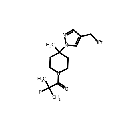 CC(C)Cc1cnn(C2(C)CCN(C(=O)C(C)(C)F)CC2)c1